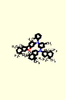 Cc1cc(N(c2ccc3c(c2)C(C)(C)CCC3(C)C)c2ccc3c(c2)C(C)(C)CCC3(C)C)cc(N(c2ccc3c(c2)oc2cc4c(cc23)C(C)(C)CCC4(C)C)c2ccccc2C)c1